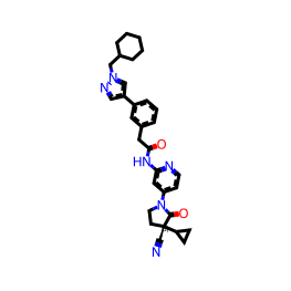 N#C[C@@]1(C2CC2)CCN(c2ccnc(NC(=O)Cc3cccc(-c4cnn(CC5CCCCC5)c4)c3)c2)C1=O